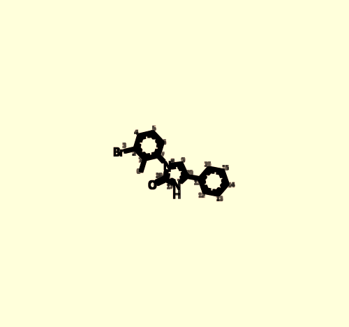 Cc1c(Br)cccc1-n1cc(-c2ccccc2)[nH]c1=O